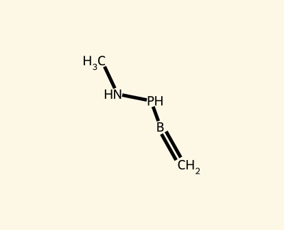 C=BPNC